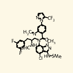 C=Nc1cc(-n2nccc2C(F)(F)F)ccc1C(=O)N(CC(Cc1cc(F)cc(F)c1)NC=O)c1ccc(Cl)c2c(NSC)nn(C)c12